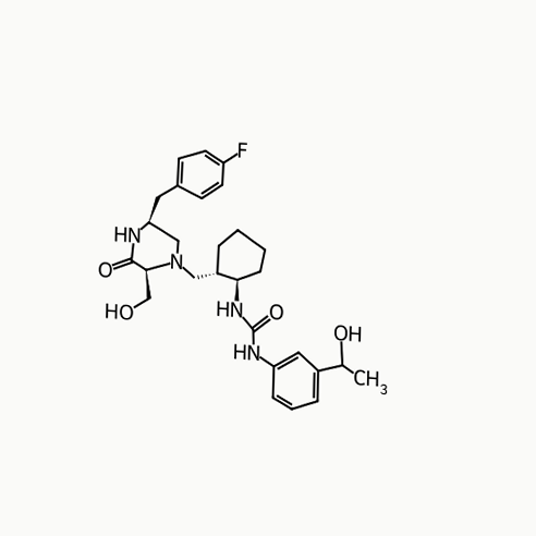 CC(O)c1cccc(NC(=O)N[C@@H]2CCCC[C@H]2CN2C[C@H](Cc3ccc(F)cc3)NC(=O)[C@@H]2CO)c1